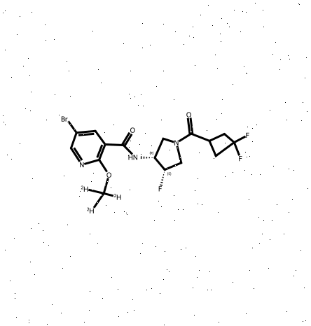 [2H]C([2H])([2H])Oc1ncc(Br)cc1C(=O)N[C@@H]1CN(C(=O)C2CC(F)(F)C2)C[C@@H]1F